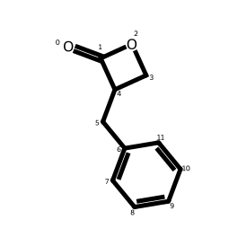 O=C1OCC1Cc1ccccc1